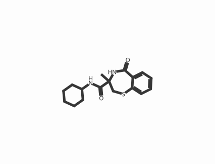 CC1(C(=O)NC2CCCCC2)CSc2ccccc2C(=O)N1